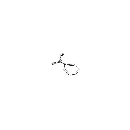 O=[N+](O)[n+]1ccccc1